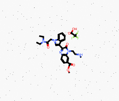 CCN(CC)C(=O)Cn1cc(-c2nc3ccc(C(=O)OC)cc3n(CCNC)c2=O)c2ccccc21.O=C(O)C(F)(F)F